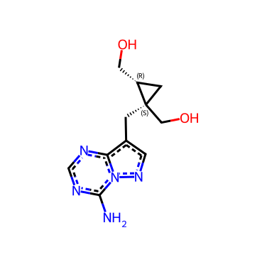 Nc1ncnc2c(C[C@@]3(CO)C[C@H]3CO)cnn12